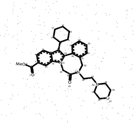 COC(=O)c1ccc2c(C3CCCCC3)c3n(c2c1)CC(=O)N(CCN1CCOCC1)Cc1ccccc1-3